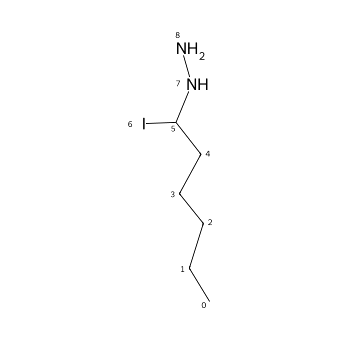 CCCCCC(I)NN